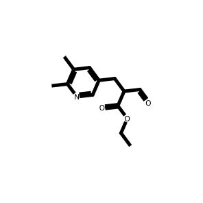 CCOC(=O)C(C=O)Cc1cnc(C)c(C)c1